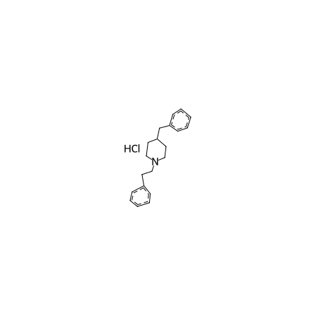 Cl.c1ccc(CCN2CCC(Cc3ccccc3)CC2)cc1